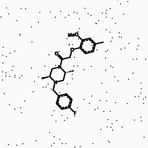 COc1cc(C)ccc1OCC(=O)N1C[C@H](C)N(Cc2ccc(F)cc2)C[C@H]1C